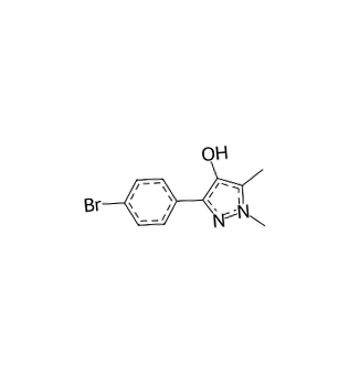 Cc1c(O)c(-c2ccc(Br)cc2)nn1C